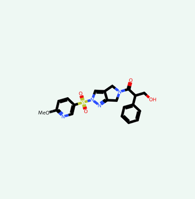 COc1ccc(S(=O)(=O)n2cc3c(n2)CN(C(=O)C(CO)c2ccccc2)C3)cn1